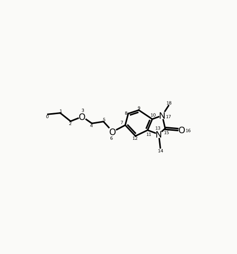 CCCOCCOc1ccc2c(c1)n(C)c(=O)n2C